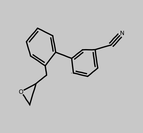 N#Cc1cc[c]c(-c2ccccc2CC2CO2)c1